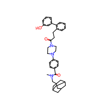 CN(CC12CC3CC(CC(C3)C1)C2)C(=O)c1ccc(N2CCN(C(=O)CCc3ccccc3-c3cccc(O)c3)CC2)cc1